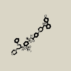 N[C@@H](c1ccccc1-c1ccc(Cl)cc1)C1CCN(c2ccc(C(=O)NS(=O)(=O)c3ccc(NC(CCN4CCOCC4)CSc4ccccc4)c(S(=O)(=O)C(F)(F)F)c3)cc2)CC1